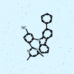 Cc1cc(C)nc(-c2ccc(C#N)cc2-n2c3ccccc3c3ccc(-c4ccccc4)cc32)n1